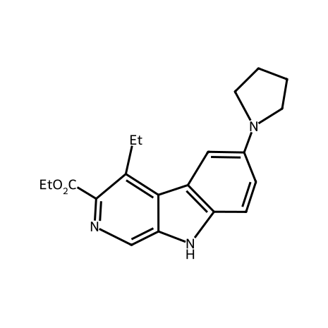 CCOC(=O)c1ncc2[nH]c3ccc(N4CCCC4)cc3c2c1CC